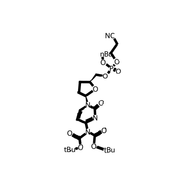 CCCCOP(=O)(OCCC#N)OC[C@@H]1CC[C@H](n2ccc(N(C(=O)OC(C)(C)C)C(=O)OC(C)(C)C)nc2=O)O1